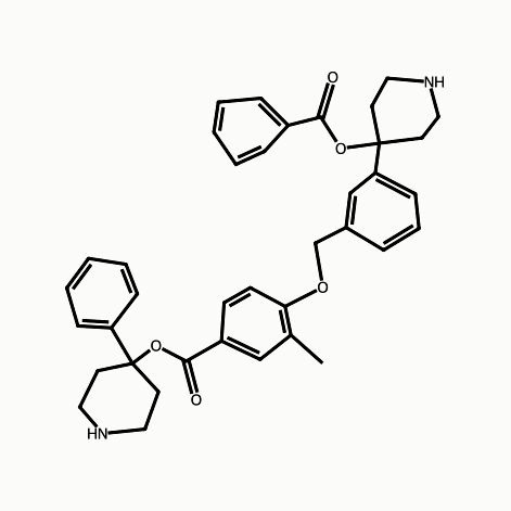 Cc1cc(C(=O)OC2(c3ccccc3)CCNCC2)ccc1OCc1cccc(C2(OC(=O)c3ccccc3)CCNCC2)c1